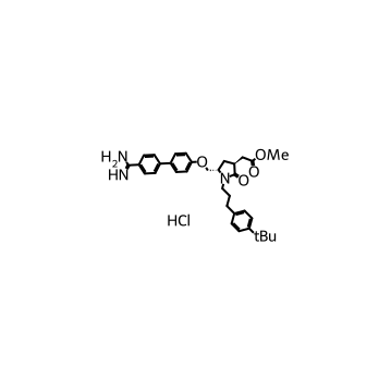 COC(=O)C[C@@H]1C[C@@H](COc2ccc(-c3ccc(C(=N)N)cc3)cc2)N(CCCc2ccc(C(C)(C)C)cc2)C1=O.Cl